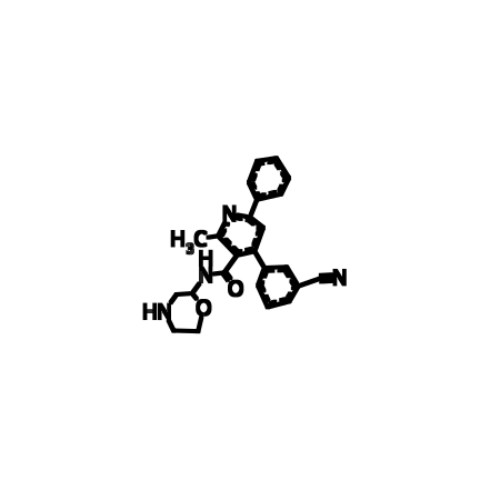 Cc1nc(-c2ccccc2)cc(-c2cccc(C#N)c2)c1C(=O)NC1CNCCO1